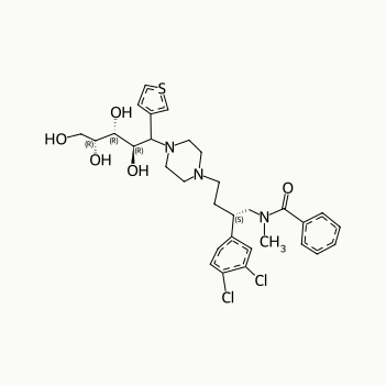 CN(C[C@@H](CCN1CCN(C(c2ccsc2)[C@@H](O)[C@@H](O)[C@H](O)CO)CC1)c1ccc(Cl)c(Cl)c1)C(=O)c1ccccc1